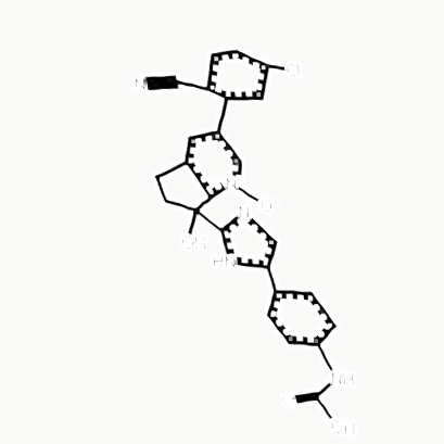 N#Cc1ccc(Cl)cc1-c1cc2c([n+]([O-])c1)C(O)(c1ncc(-c3ccc(NC(=O)O)cc3)[nH]1)CC2